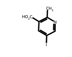 Cc1ncc(I)cc1C(=O)O